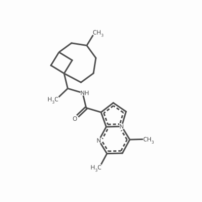 Cc1cc(C)n2ccc(C(=O)NC(C)C34CCCC(C)CC(C3)C4)c2n1